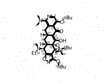 CCCCOc1cnc(N(C)C)c2c1C(=O)C1=C(O)[C@]3(O[Si](C)(C)C(C)(C)C)C(=O)c4c(OCCCC)noc4[C@@H](N(C)CC)[C@@H]3C[C@@H]1C2